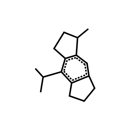 CC(C)c1c2c(cc3c1CCC3C)CCC2